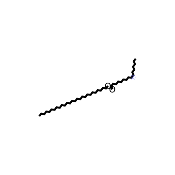 CCCCCC/C=C\CCCCCCCC(=O)OCCCCCCCCCCCCCCCCCCCCCCCCCCC